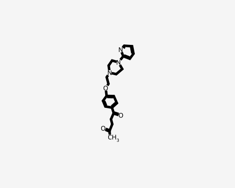 CC(=O)CCC(=O)c1ccc(OCCN2CCN(c3ccccn3)CC2)cc1